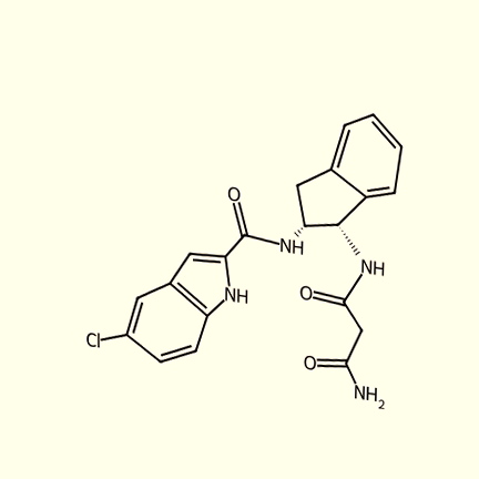 NC(=O)CC(=O)N[C@H]1c2ccccc2C[C@H]1NC(=O)c1cc2cc(Cl)ccc2[nH]1